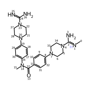 C/N=C(\N)N1CCN(c2ccc(C(=O)N(C)c3ccc(N4CCN(C(=N)N)CC4)cc3)cc2)CC1